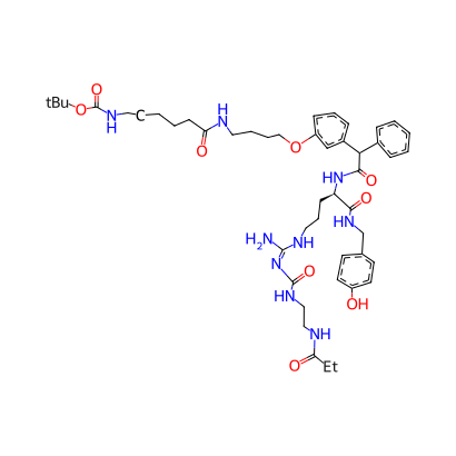 CCC(=O)NCCNC(=O)/N=C(/N)NCCC[C@@H](NC(=O)C(c1ccccc1)c1cccc(OCCCCNC(=O)CCCCCNC(=O)OC(C)(C)C)c1)C(=O)NCc1ccc(O)cc1